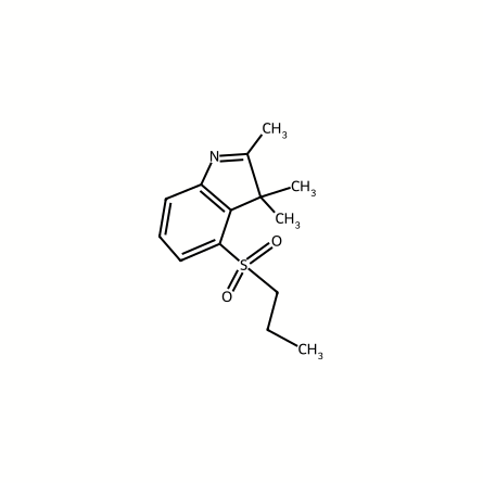 CCCS(=O)(=O)c1cccc2c1C(C)(C)C(C)=N2